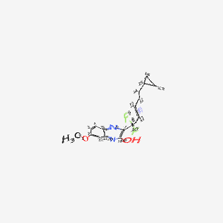 COc1ccc2nc(C(F)(F)/C=C/CCC3CC3)c(O)nc2c1